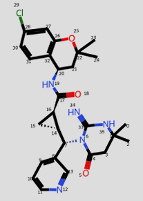 CC1(C)CC(=O)N([C@H](c2cccnc2)[C@@H]2C[C@H]2C(=O)N[C@@H]2CC(C)(C)Oc3cc(Cl)ccc32)C(=N)N1